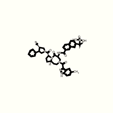 Cc1ccc2[nH]nc(C(=O)N3CC[C@H]4CC[C@@H](C(=O)N5CC(c6ccccc6)[C@@H](C#N)C5)N4C(=O)C(NC(=O)c4ccc5ccc(C(F)(F)P(=O)(O)O)cc5c4)C3)c2c1